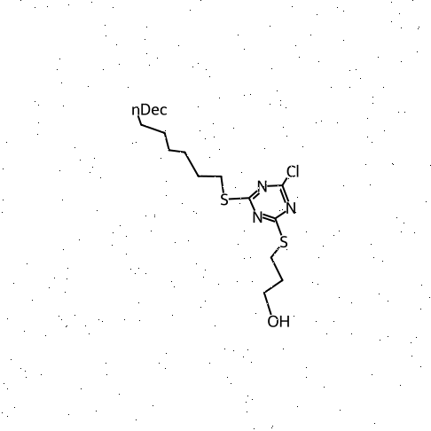 CCCCCCCCCCCCCCCCSc1nc(Cl)nc(SCCCO)n1